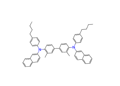 CCCCc1ccc(N(c2ccc3ccccc3c2)c2ccc(-c3ccc(N(c4ccc(CCCC)cc4)c4ccc5ccccc5c4)c(C)c3)cc2C)cc1